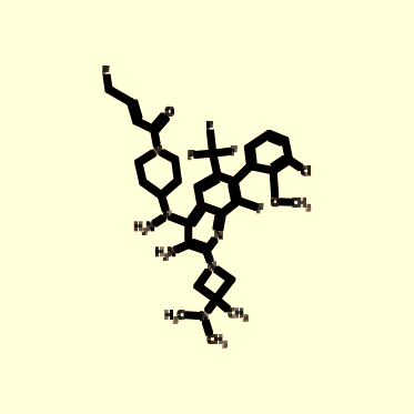 COc1c(Cl)cccc1-c1c(C(F)(F)F)cc2c(N(N)C3CCN(C(=O)/C=C/CF)CC3)c(N)c(N3CC(C)(N(C)C)C3)nc2c1F